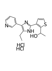 CCc1[nH]c(-c2ccsc2C(C)O)nc1-c1cccnc1.Cl.Cl